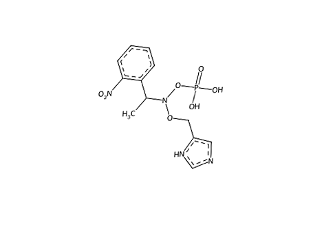 CC(c1ccccc1[N+](=O)[O-])N(OCc1cnc[nH]1)OP(=O)(O)O